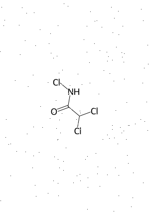 O=C(NCl)C(Cl)Cl